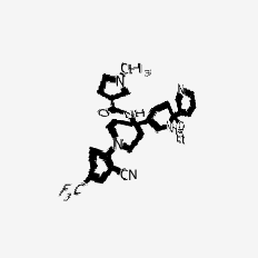 CCOC1(c2cccnc2)C=CC(C2(NC(=O)[C@H]3CCN(C)C3)CCN(c3ccc(C(F)(F)F)cc3C#N)CC2)=CN1